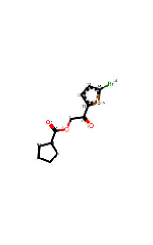 O=C(COC(=O)C1CCCC1)c1ccc(Br)s1